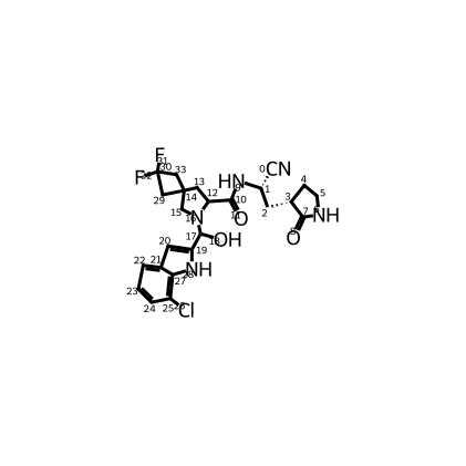 N#C[C@H](C[C@@H]1CCNC1=O)NC(=O)C1CC2(CN1C(O)c1cc3cccc(Cl)c3[nH]1)CC(F)(F)C2